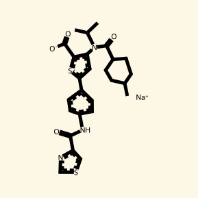 CC1CCC(C(=O)N(c2cc(-c3ccc(NC(=O)c4cscn4)cc3)sc2C(=O)[O-])C(C)C)CC1.[Na+]